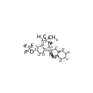 CC1(C)Cc2cc(OC(F)(F)F)ccc2C(c2cc3ccccc3nn2)=N1